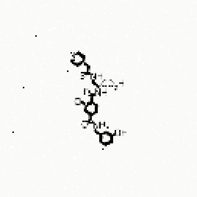 O=C(NCc1cccc(O)c1)c1ccc(C(=O)N[C@@H](CNC(=S)Cc2ccncc2)C(=O)O)c(Cl)c1